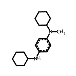 CN(c1ccc(NC2CCCCC2)cc1)C1CCCCC1